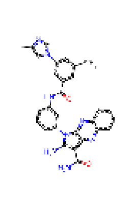 Cc1cn(-c2cc(C(=O)Nc3cccc(-n4c(N)c(C(N)=O)c5nc6ccccc6nc54)c3)cc(C(F)(F)F)c2)cn1